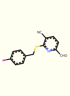 N#Cc1ccc(C=O)nc1SCc1ccc(I)cc1